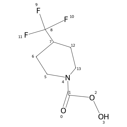 O=C(OO)N1CCC(C(F)(F)F)CC1